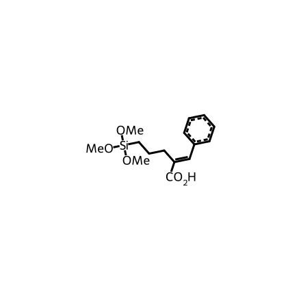 CO[Si](CCCC(=Cc1ccccc1)C(=O)O)(OC)OC